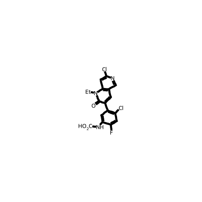 CCn1c(=O)c(-c2cc(NC(=O)O)c(F)cc2Cl)cc2cnc(Cl)cc21